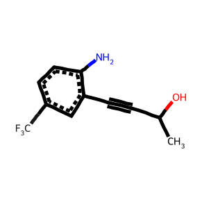 CC(O)C#Cc1cc(C(F)(F)F)ccc1N